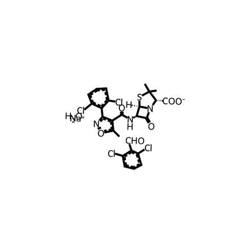 Cc1onc(-c2c(Cl)cccc2Cl)c1C(=O)N[C@@H]1C(=O)N2[C@@H]1SC(C)(C)[C@@H]2C(=O)[O-].O.O=Cc1c(Cl)cccc1Cl.[Na+]